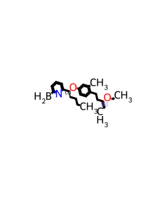 Bc1cccc([C@H](CCCC)Oc2ccc(CC/C(=C\C)OCC)c(C)c2)n1